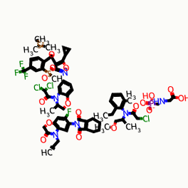 C#CCN1C(=O)COc2cc(F)c(N3C(=O)C4=C(CCCC4)C3=O)cc21.CC1COc2ccccc2N1C(=O)C(Cl)Cl.CCc1cccc(C)c1N(C(=O)CCl)C(C)COC.CS(=O)(=O)c1cc(C(F)(F)F)ccc1C(=O)c1cnoc1C1CC1.C[S+](C)C.O=C(O)CNCP(=O)([O-])O